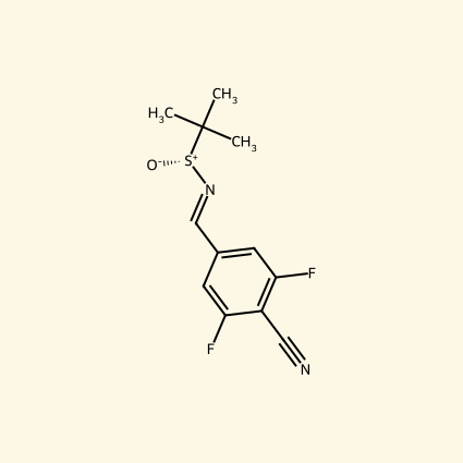 CC(C)(C)[S@@+]([O-])N=Cc1cc(F)c(C#N)c(F)c1